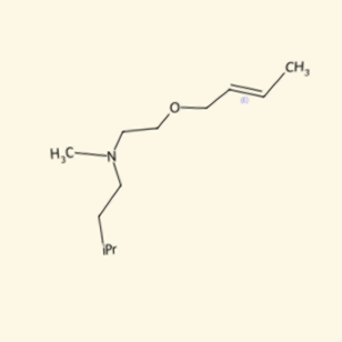 C/C=C/COCCN(C)CCC(C)C